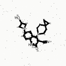 N#Cc1c(N2CCC3(CC2)CC3)c2cc(N3CC(O)C3)ccc2[nH]c1=O